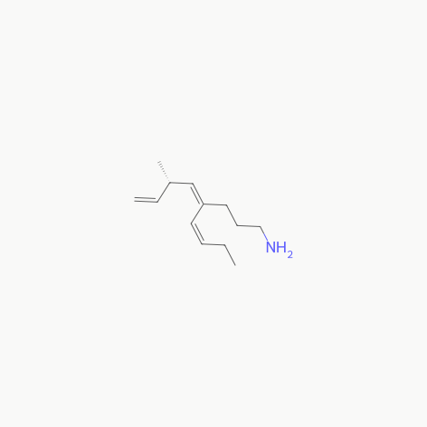 C=C[C@H](C)/C=C(\C=C/CC)CCCN